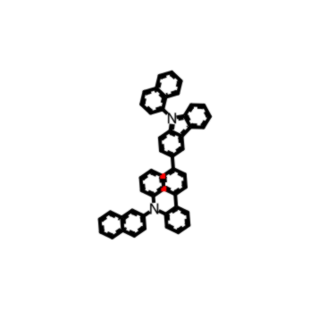 c1ccc(N(c2ccc3ccccc3c2)c2ccccc2-c2ccc(-c3ccc4c(c3)c3ccccc3n4-c3cccc4ccccc34)cc2)cc1